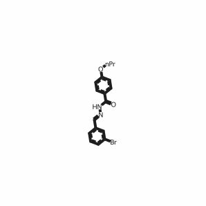 CCCOc1ccc(C(=O)N/N=C/c2cccc(Br)c2)cc1